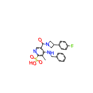 Cc1c(S(=O)(=O)O)ncc(C(=O)N2CC(c3ccc(F)cc3)C2)c1NCc1ccccc1